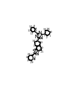 c1ccc(-c2nc(-c3ccccc3)nc(-c3ccc4c(ccc5nc(-c6ccccn6)sc54)c3)n2)cc1